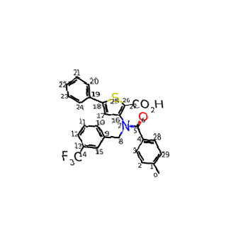 Cc1ccc(C(=O)N(Cc2cccc(C(F)(F)F)c2)c2cc(-c3ccccc3)sc2C(=O)O)cc1